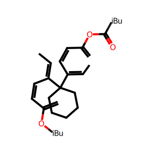 C=C(/C=C\C(=C/C)C1(C(/C=C\C(=C)OC(C)CC)=C/C)CCCCC1)OC(=O)C(C)CC